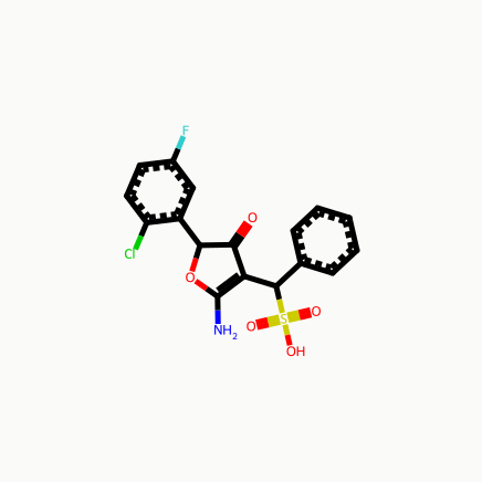 NC1=C(C(c2ccccc2)S(=O)(=O)O)C(=O)C(c2cc(F)ccc2Cl)O1